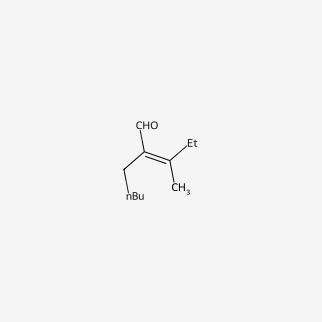 CCCCCC(C=O)=C(C)CC